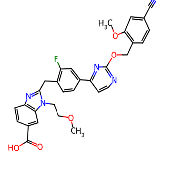 COCCn1c(Cc2ccc(-c3ccnc(OCc4ccc(C#N)cc4OC)n3)cc2F)nc2ccc(C(=O)O)cc21